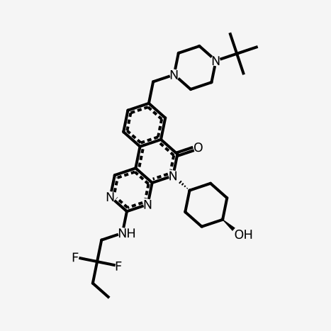 CCC(F)(F)CNc1ncc2c3ccc(CN4CCN(C(C)(C)C)CC4)cc3c(=O)n([C@H]3CC[C@H](O)CC3)c2n1